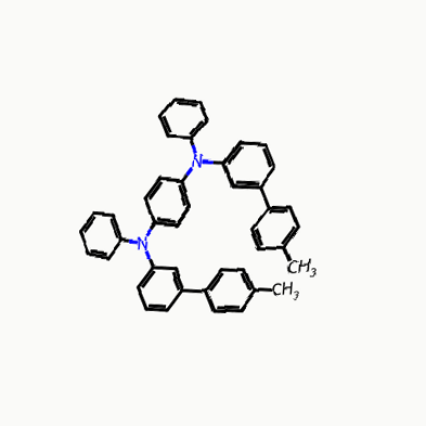 Cc1ccc(-c2cccc(N(c3ccccc3)c3ccc(N(c4ccccc4)c4cccc(-c5ccc(C)cc5)c4)cc3)c2)cc1